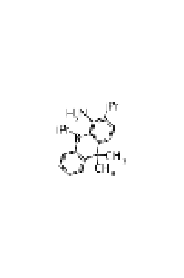 CC(C)B1c2ccccc2C(C)(C)c2ccc(C(C)C)c(N)c21